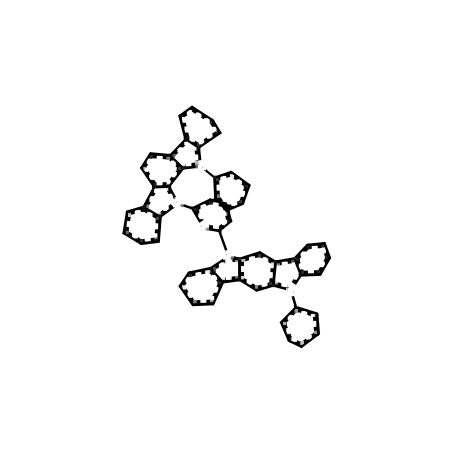 c1ccc(-n2c3ccccc3c3cc4c(cc32)c2ccccc2n4-c2cccc(-n3c4ccccc4c4ccc5c6ccccc6n(-c6ccccc6)c5c43)n2)cc1